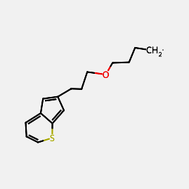 [CH2]CCCOCCCc1cc2cccsc-2c1